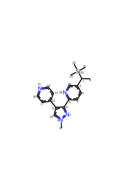 CC(c1ccc(-c2nn(C)cc2-c2ccncc2)nc1)[Si](C)(C)C